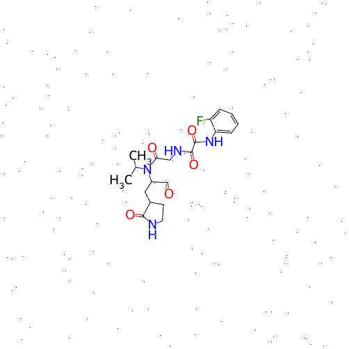 CC(C)N(C(=O)CNC(=O)C(=O)Nc1ccccc1F)C(C=O)CC1CCNC1=O